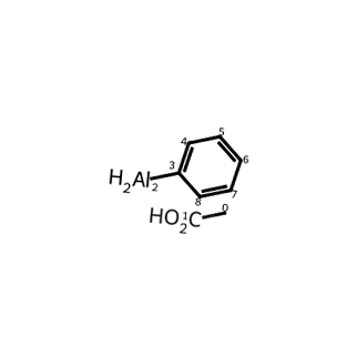 CC(=O)O.[AlH2][c]1ccccc1